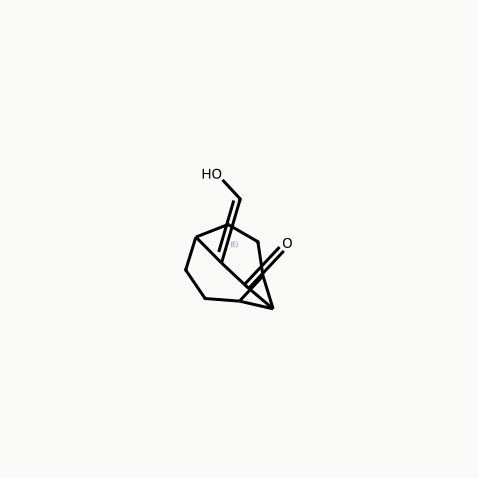 O=C1/C(=C/O)C2CCC3C(CC2)C13